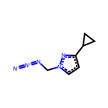 [N-]=[N+]=NCn1ccc(C2CC2)n1